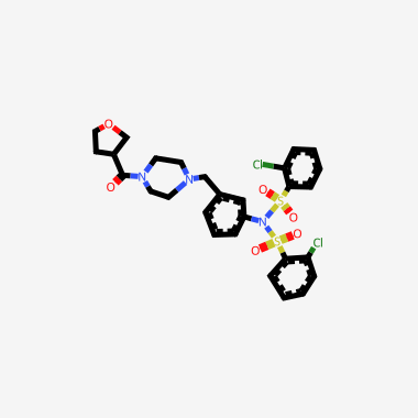 O=C(C1CCOC1)N1CCN(Cc2cccc(N(S(=O)(=O)c3ccccc3Cl)S(=O)(=O)c3ccccc3Cl)c2)CC1